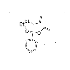 C=COC(OCC)(c1ccccc1)C(C=C)CC